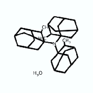 CC1C2CC3CC(C2)CC1(N(C12CC4CC(CC(C4)C1C)C2)C12CC4CC(CC(C4)C1C)C2)C3.O